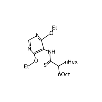 CCCCCCCCC(CCCCCC)C(=S)Nc1c(OCC)ncnc1OCC